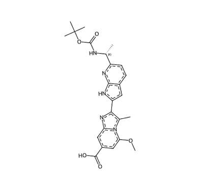 COc1cc(C(=O)O)cc2nc(-c3cc4ccc([C@@H](C)NC(=O)OC(C)(C)C)nc4[nH]3)c(C)n12